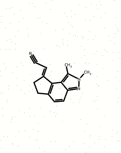 Cc1c2c3c(ccc2nn1C)CCC3=CC#N